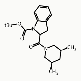 C[C@@H]1C[C@H](C)CN(C(=O)C2Cc3ccccc3N2C(=O)OC(C)(C)C)C1